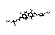 CC1(C)C=C(/C=C\C2=CC(C)(C)C=C(CCCCC(C)(C)OC=O)C2=O)C(=O)C(CCCCC(C)(C)CO)=C1